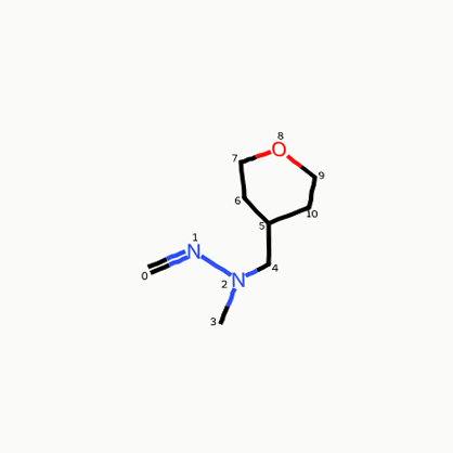 C=NN(C)CC1CCOCC1